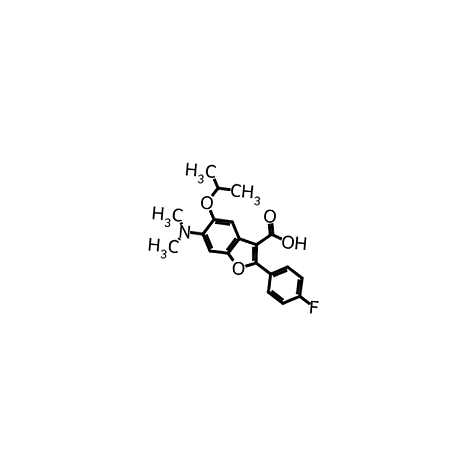 CC(C)Oc1cc2c(C(=O)O)c(-c3ccc(F)cc3)oc2cc1N(C)C